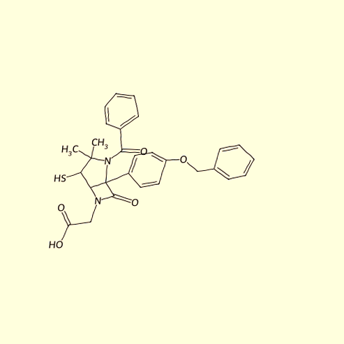 CC1(C)C(S)C2N(CC(=O)O)C(=O)C2(c2ccc(OCc3ccccc3)cc2)N1C(=O)c1ccccc1